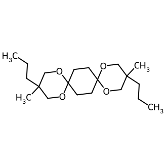 CCCC1(C)COC2(CCC3(CC2)OCC(C)(CCC)CO3)OC1